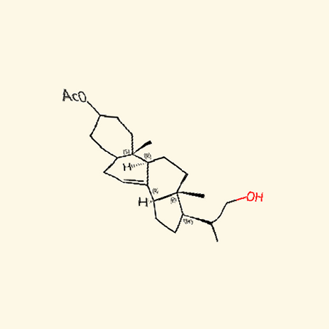 CC(=O)OC1CC[C@@]2(C)C(CC=C3[C@@H]4CC[C@H](C(C)CO)[C@@]4(C)CC[C@@H]32)C1